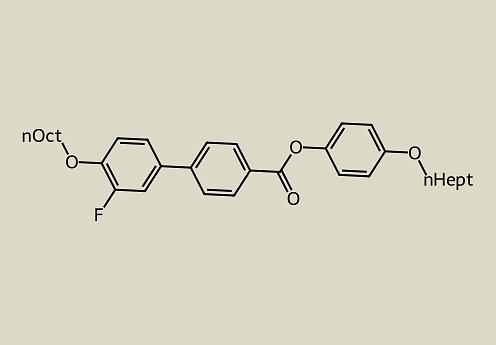 CCCCCCCCOc1ccc(-c2ccc(C(=O)Oc3ccc(OCCCCCCC)cc3)cc2)cc1F